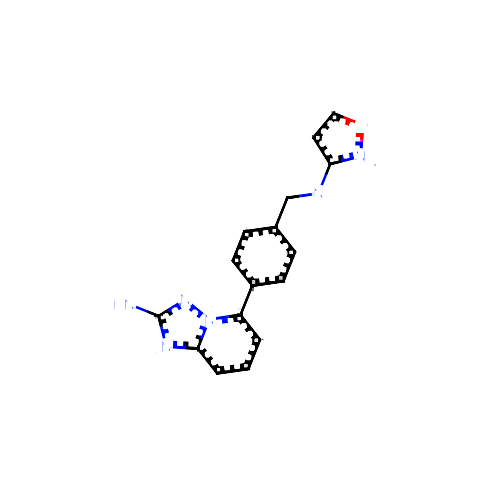 Nc1nc2cccc(-c3ccc(CNc4ccon4)cc3)n2n1